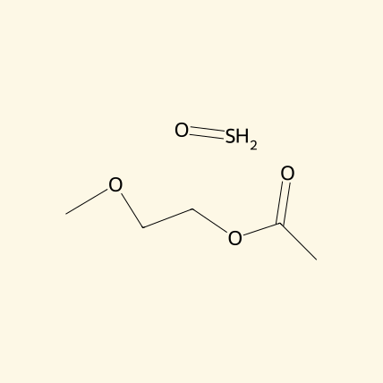 COCCOC(C)=O.O=[SH2]